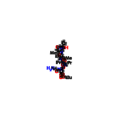 CC[C@H](C)[C@@H]([C@@H](CC(=O)N1CCC[C@H]1[C@H](OC)[C@@H](C)C(=O)N[C@H](C)[C@@H](O)c1ccccc1)OC)N(C)C(=O)[C@@H](NC(=O)[C@H](C(C)C)N(C)C(=O)OCc1ccc(OS(=O)(=O)OCC(C)(C)C)cc1NC(=O)CCN)C(C)C